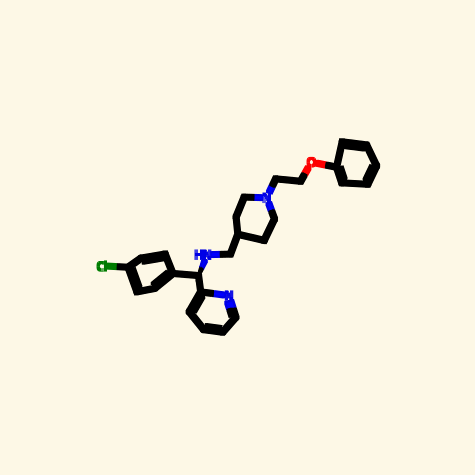 Clc1ccc([C@@H](NCC2CCN(CCOc3ccccc3)CC2)c2ccccn2)cc1